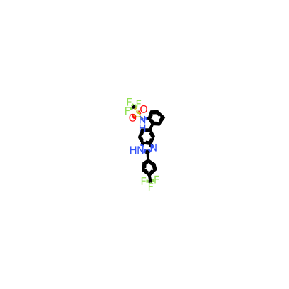 O=S(=O)(Nc1ccccc1-c1ccc2[nH]c(-c3ccc(C(F)(F)F)cc3)nc2c1)C(F)(F)F